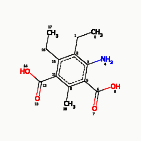 CCc1c(N)c(C(=O)O)c(C)c(C(=O)O)c1CC